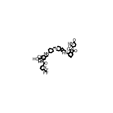 CC(C)(O)c1cc2nn([C@H]3CC[C@H](CN4CCC5(CC4)CC(CNc4cccc6c4C(=O)N(C4CCC(=O)NC4=O)C6=O)C5)CC3)cc2cc1NC(=O)c1cccc(C(F)(F)F)n1